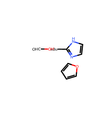 CCCCc1ncc[nH]1.O=CO.c1ccoc1